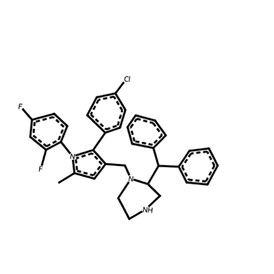 Cc1cc(CN2CCNCC2C(c2ccccc2)c2ccccc2)c(-c2ccc(Cl)cc2)n1-c1ccc(F)cc1F